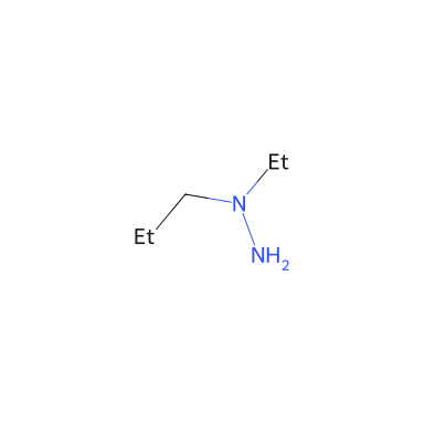 [CH2]CCN(N)CC